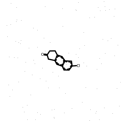 O=C1CCc2cc3cc(Cl)ccc3cc2C1